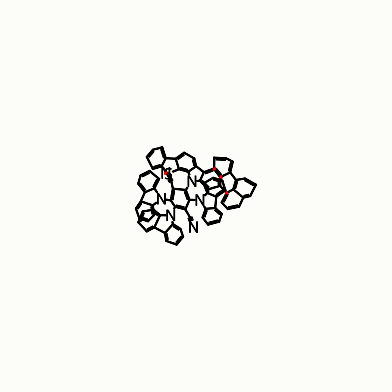 N#Cc1c(-n2c3ccccc3c3ccccc32)c(-n2c3ccccc3c3ccccc32)c(C#N)c(-n2c3cc(-c4cccc5cccc(-c6ccccc6)c45)ccc3c3ccc4c5ccccc5sc4c32)c1-n1c2ccccc2c2ccccc21